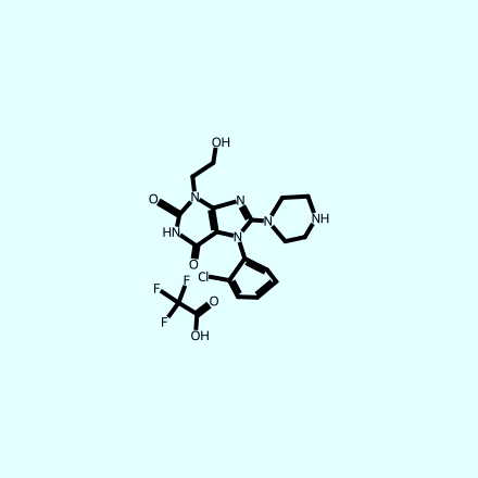 O=C(O)C(F)(F)F.O=c1[nH]c(=O)n(CCO)c2nc(N3CCNCC3)n(-c3ccccc3Cl)c12